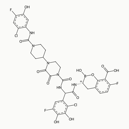 O=C(O)c1c(F)ccc2c1OB(O)[C@@H](NC(=O)C(NC(=O)N1CCN(C3CCN(C(=O)Nc4cc(O)c(F)cc4Cl)CC3)C(=O)C1=O)c1cc(F)c(O)c(O)c1Cl)C2